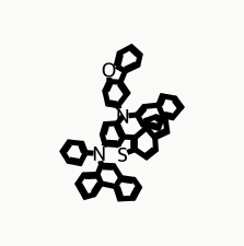 c1ccc(N(c2cc3ccccc3c3ccccc23)c2ccc(N(c3ccc4ccccc4c3)c3ccc4oc5ccccc5c4c3)c3c2sc2ccc4ccccc4c23)cc1